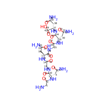 NCC(=O)N[C@@H](CC(N)=O)C(=O)NCC(=O)N[C@@H](CC(N)=O)C(=O)NCC(=O)N[C@@H](CC(N)=O)C(=O)N[C@@H](CC(N)=O)C(=O)O